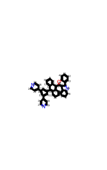 c1ccc2c3c(-c4c5ccccc5c(-c5cc(-c6ccncc6)cc(-c6ccncc6)c5)c5ccccc45)oc4ccccc4c-3nc2c1